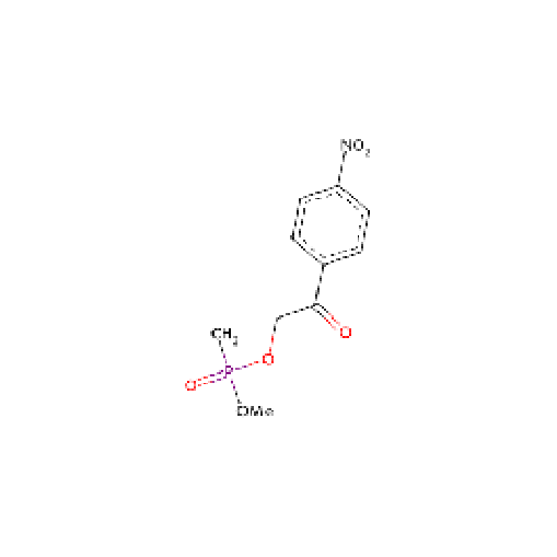 COP(C)(=O)OCC(=O)c1ccc([N+](=O)[O-])cc1